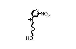 CN(CCOCCO)c1ccnc([N+](=O)[O-])c1